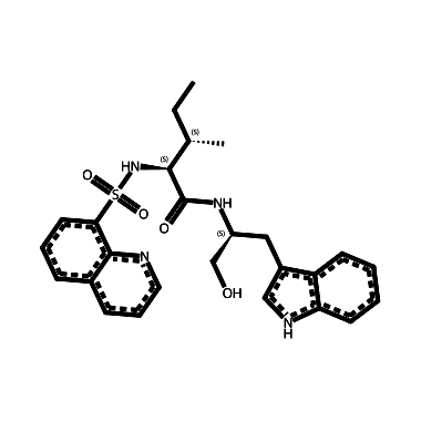 CC[C@H](C)[C@H](NS(=O)(=O)c1cccc2cccnc12)C(=O)N[C@H](CO)Cc1c[nH]c2ccccc12